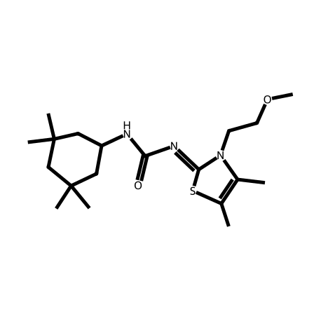 COCCn1c(C)c(C)s/c1=N\C(=O)NC1CC(C)(C)CC(C)(C)C1